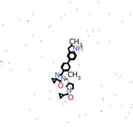 CC1=C(C2=NC3(CC3)C(=O)N2C[C@@H]2CCN(C(=O)C3CC3)C2)C=CC(c2ccc3c(c2)CC(C)N3)C1